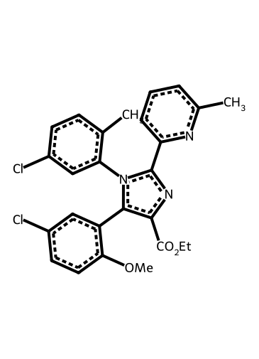 CCOC(=O)c1nc(-c2cccc(C)n2)n(-c2cc(Cl)ccc2C)c1-c1cc(Cl)ccc1OC